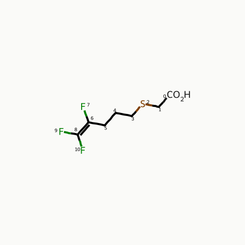 O=C(O)CSCCCC(F)=C(F)F